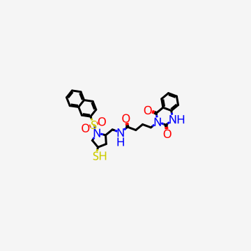 O=C(CCCn1c(=O)[nH]c2ccccc2c1=O)NCC1CC(S)CN1S(=O)(=O)c1ccc2ccccc2c1